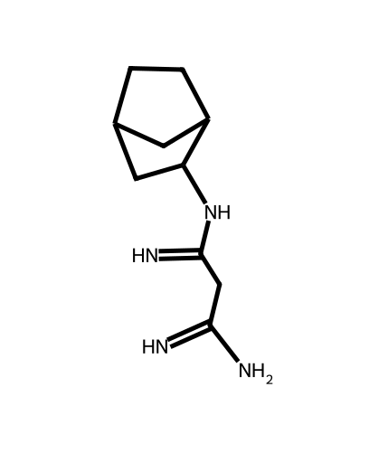 N=C(N)CC(=N)NC1CC2CCC1C2